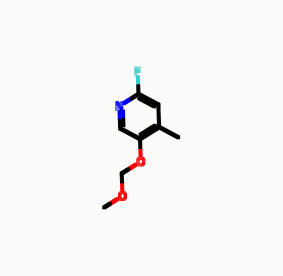 COCOc1cnc(F)cc1C